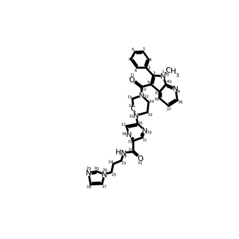 Cn1c(-c2ccccc2)c(C(=O)N2CCN(c3cnc(C(=O)NCCCn4ccnc4)cn3)CC2)c2cccnc21